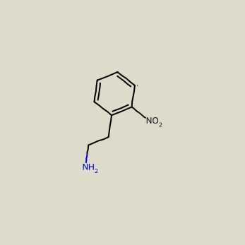 NCCc1ccc[c]c1[N+](=O)[O-]